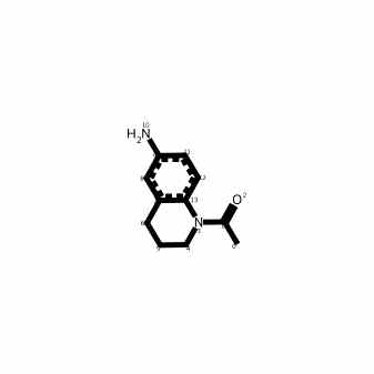 CC(=O)N1CCCc2cc(N)ccc21